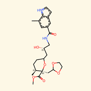 COC(=O)[C@]1(CC2OCCO2)OC(C[C@H](O)CNC(=O)c2cc(C)c3[nH]ccc3c2)CC[C@@H]1C